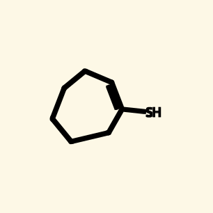 SC1=CCCCCC1